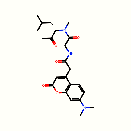 CC(=O)[C@H](CC(C)C)N(C)C(=O)CNC(=O)Cc1cc(=O)oc2cc(N(C)C)ccc12